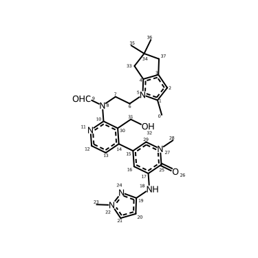 Cc1cc2c(n1CCN(C=O)c1nccc(-c3cc(Nc4ccn(C)n4)c(=O)n(C)c3)c1CO)CC(C)(C)C2